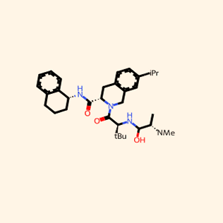 CN[C@@H](C)C(O)N[C@H](C(=O)N1Cc2cc(C(C)C)ccc2C[C@H]1C(=O)N[C@@H]1CCCc2ccccc21)C(C)(C)C